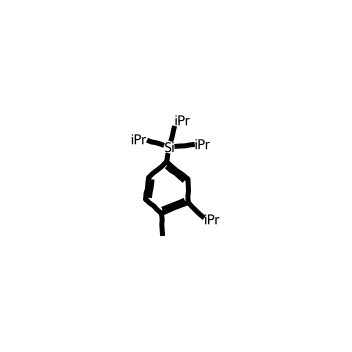 Cc1ccc([Si](C(C)C)(C(C)C)C(C)C)cc1C(C)C